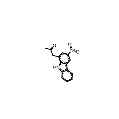 CC(=O)Cc1cc([N+](=O)[O-])cc2c1[nH]c1ccccc12